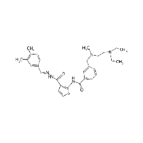 CCN(CC)CCN(C)Cc1cccc(C(=O)Nc2sccc2C(=O)N/N=C/c2ccc(C)c(C)c2)c1